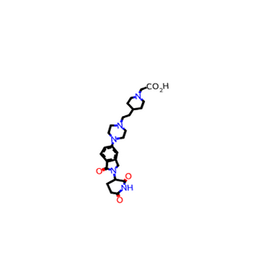 O=C(O)CN1CCC(CCN2CCN(c3ccc4c(c3)CN(C3CCC(=O)NC3=O)C4=O)CC2)CC1